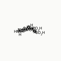 N=C(N)Nc1ccc(C(=O)Oc2ccc3c(C(=O)NC(Cc4ccc(C(=O)O)cc4)C(=O)O)cccc3c2)cc1